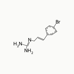 NC(N)=NC/C=C/c1ccc(Br)cc1